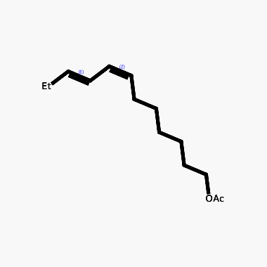 CC/C=C/C=C\CCCCCCOC(C)=O